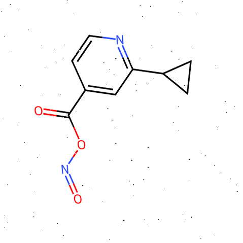 O=NOC(=O)c1ccnc(C2CC2)c1